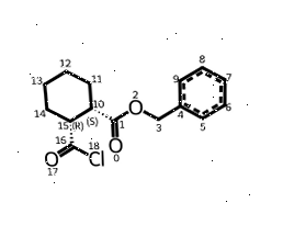 O=C(OCc1ccccc1)[C@H]1CCCC[C@H]1C(=O)Cl